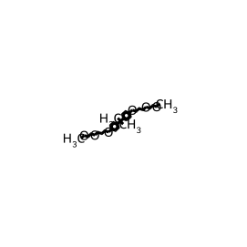 COCCOCCCOc1ccc(C(C)(C)c2ccc(OCCCOCCOC)cc2)cc1